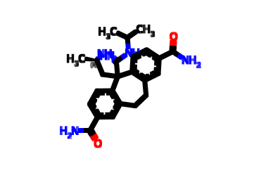 CC(C)NC(=N)C1(C[C@@H](C)N)c2ccc(C(N)=O)cc2CCc2cc(C(N)=O)ccc21